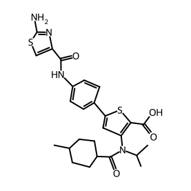 CC1CCC(C(=O)N(c2cc(-c3ccc(NC(=O)c4csc(N)n4)cc3)sc2C(=O)O)C(C)C)CC1